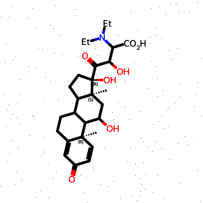 CCN(CC)C(C(=O)O)C(O)C(=O)[C@@]1(O)CCC2C3CCC4=CC(=O)C=C[C@]4(C)C3C(O)C[C@@]21C